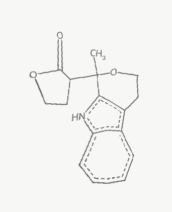 CC1(C2CCOC2=O)OCCc2c1[nH]c1ccccc21